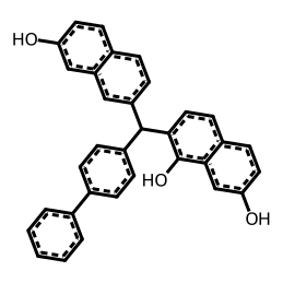 Oc1ccc2ccc(C(c3ccc(-c4ccccc4)cc3)c3ccc4ccc(O)cc4c3O)cc2c1